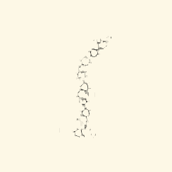 COc1ccc(C)cc1C(=O)NCc1ccc(-c2nn3c(c2C=O)Nc2ccc(N4CCN(CC5CCN(c6ccc(N7CCC(=O)NC7=O)cc6)CC5)CC4)cc2CC3)cc1C